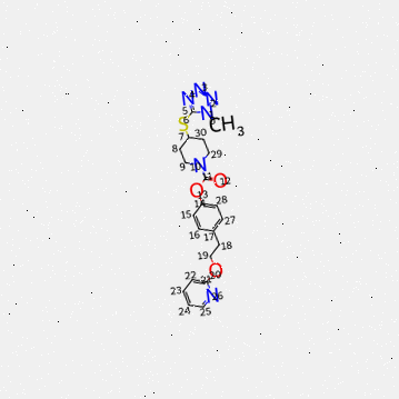 Cn1nnnc1SC1CCN(C(=O)Oc2ccc(CCOc3ccccn3)cc2)CC1